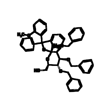 COc1ccccc1C(O[C@@]1(C)O[C@H](CO)[C@@H](OCc2ccccc2)[C@H](OCc2ccccc2)[C@@H]1OCc1ccccc1)(c1ccccc1)c1ccccc1